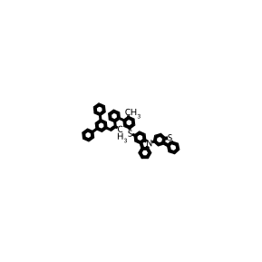 C/C(=C/c1cc(-c2ccccc2)cc(-c2ccccc2)c1)c1ccccc1-c1cc(Sc2ccc3c(c2)c2ccccc2n3-c2ccc3sc4ccccc4c3c2)ccc1C